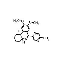 COc1cc2c(cc1OC)[C@H]1CCCC[C@H]1N=C2c1cnc(C)cn1